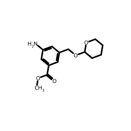 COC(=O)c1cc(N)cc(COC2CCCCO2)c1